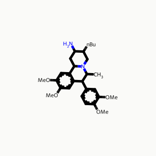 CCCCC1CN2C(CC1N)c1cc(OC)c(OC)cc1C(c1ccc(OC)c(OC)c1)C2C